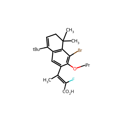 CC(=C(F)C(=O)O)c1cc2c(c(Br)c1OC(C)C)C(C)(C)CC=C2C(C)(C)C